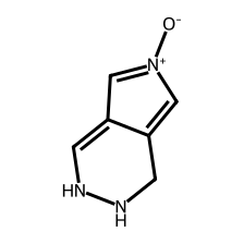 [O-][N+]1=CC2=CNNCC2=C1